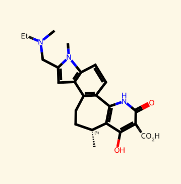 CCN(C)Cc1cc2c3c(ccc2n1C)-c1[nH]c(=O)c(C(=O)O)c(O)c1[C@H](C)CC3